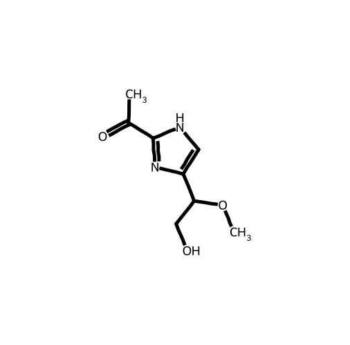 COC(CO)c1c[nH]c(C(C)=O)n1